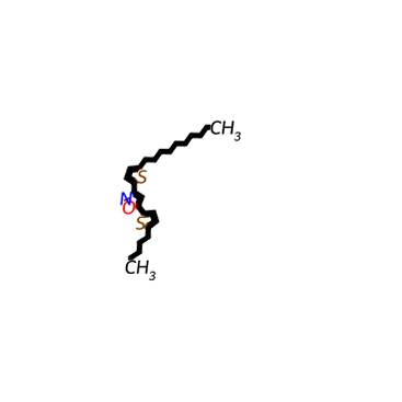 CCCCCCCCCCc1ccc(-c2cc(-c3ccc(CCCCC)s3)on2)s1